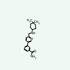 CC1(C)CCC(NCc2ccc(-c3cccc(C(N)=O)c3)cn2)CC1